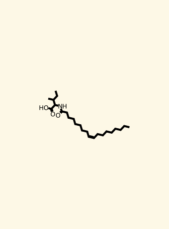 CCCCCCCC/C=C\CCCCCCCC(=O)NC(C(=O)O)C(C)CC